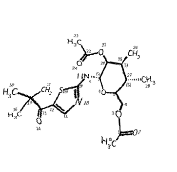 CC(=O)OCC1O[C@H](Nc2ncc(C(=O)C(C)(C)C)s2)C(OC(C)=O)[C@@H](C)[C@@H]1C